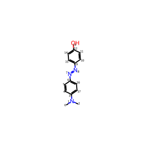 CN(C)c1ccc(N=Nc2ccc(O)cc2)cc1